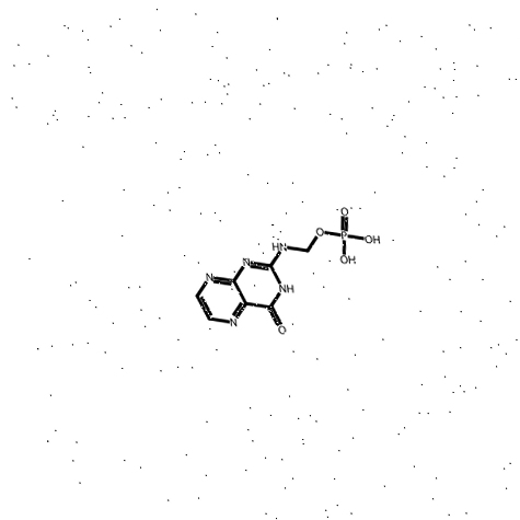 O=c1[nH]c(NCOP(=O)(O)O)nc2nccnc12